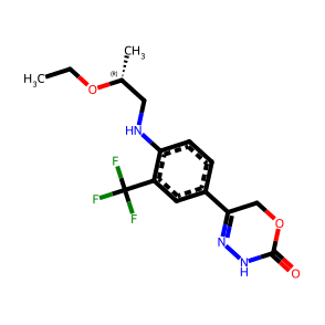 CCO[C@H](C)CNc1ccc(C2=NNC(=O)OC2)cc1C(F)(F)F